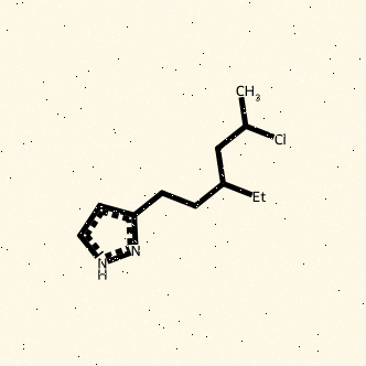 CCC(CCc1cc[nH]n1)CC(C)Cl